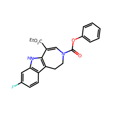 CCOC(=O)C1=CN(C(=O)Oc2ccccc2)CCc2c1[nH]c1cc(F)ccc21